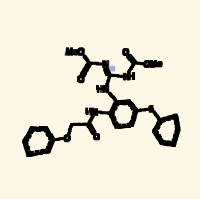 COC(=O)/N=C(/NC(=O)OC)Nc1cc(Sc2ccccc2)ccc1NC(=O)COc1ccccc1